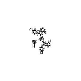 O=[N+](OCC(CCc1ccc(Cl)cc1)Sc1c(Cl)cccc1Cl)OCC(CCc1ccc(Cl)cc1)Sc1c(Cl)cccc1Cl.c1c[nH]cn1